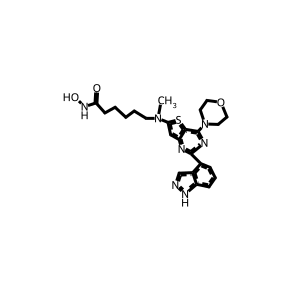 CN(CCCCCC(=O)NO)c1cc2nc(-c3cccc4[nH]ncc34)nc(N3CCOCC3)c2s1